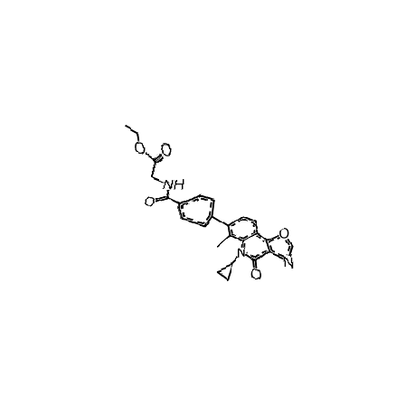 CCOC(=O)CNC(=O)c1ccc(-c2ccc3c4ocnc4c(=O)n(C4CC4)c3c2C)cc1